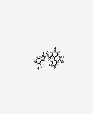 CN(C(=O)c1cc2c(C(F)F)cc(F)cc2[nH]1)[C@H]1CNCc2[nH]c(=O)c3cc(F)c(F)cc3c21